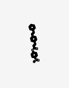 O=C(C=Cc1ccc(C=Cc2ccccc2)cc1)Oc1ccc([N+](=O)[O-])cc1